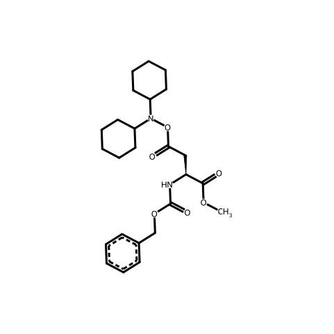 COC(=O)[C@H](CC(=O)ON(C1CCCCC1)C1CCCCC1)NC(=O)OCc1ccccc1